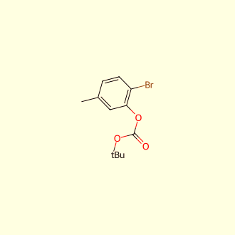 Cc1ccc(Br)c(OC(=O)OC(C)(C)C)c1